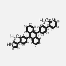 Cc1cc(-c2c3ccccc3c(-c3ccc(-c4cccnc4C)cc3)c3ccccc23)ccc1-c1cc[nH]c1